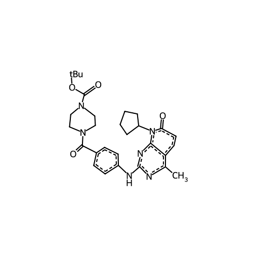 Cc1nc(Nc2ccc(C(=O)N3CCN(C(=O)OC(C)(C)C)CC3)cc2)nc2c1ccc(=O)n2C1CCCC1